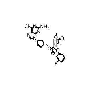 COC(=O)[C@H](C)NP(=O)(OC[C@@H]1C=C[C@H](n2cnc3c(Cl)nc(N)nc32)C1)Oc1cccc(F)c1